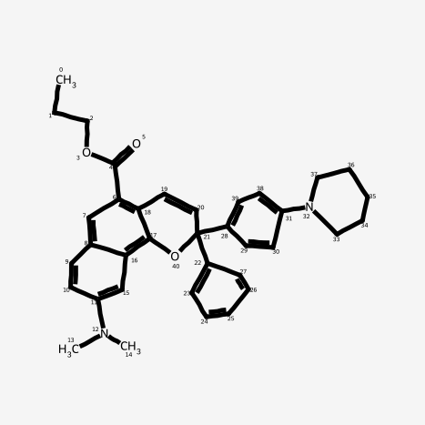 CCCOC(=O)c1cc2ccc(N(C)C)cc2c2c1C=CC(c1ccccc1)(c1ccc(N3CCCCC3)cc1)O2